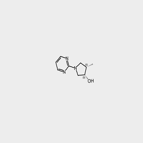 C[C@H]1CN(c2ncccn2)C[C@H]1O